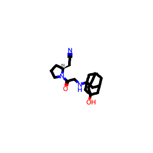 N#CC[C@@H]1CCCN1C(=O)CNC12CC3CC(CC(O)(C3)C1)C2